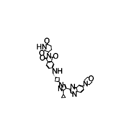 O=C1CCC(N2C(=O)c3ccc(NC[C@H]4C[C@H](n5cc(-c6cnc7ccc(N8CCOCC8)cc7n6)c(C6CC6)n5)C4)cc3C2=O)C(=O)N1